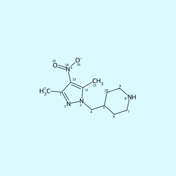 Cc1nn(CC2CCNCC2)c(C)c1[N+](=O)[O-]